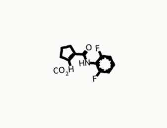 O=C(O)C1=C(C(=O)Nc2c(F)cccc2F)CCC1